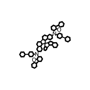 c1ccc(-c2ccc(N(c3ccc4c5c(ccc4c3)-c3ccc4cc(N(c6ccc(-c7ccccc7)cc6)c6cccc7c6oc6ccccc67)ccc4c3C53c4ccccc4-c4c3ccc3ccccc43)c3cccc4c3oc3ccccc34)cc2)cc1